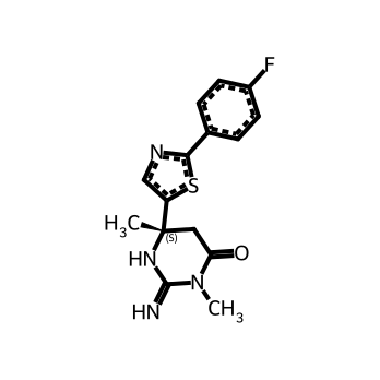 CN1C(=N)N[C@](C)(c2cnc(-c3ccc(F)cc3)s2)CC1=O